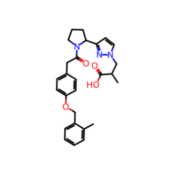 Cc1ccccc1COc1ccc(CC(=O)N2CCCC2c2ccn(CC(C)C(=O)O)n2)cc1